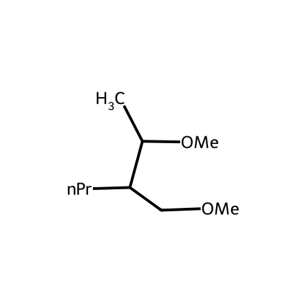 CCCC(COC)C(C)OC